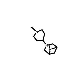 CN1CCC(N2CC3CC(C2)N3C)CC1